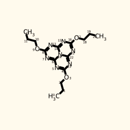 CCCOC1=NC2=NC(OCCC)=NC3=NC(OCCC)=NC(=N1)N23